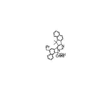 COC1(O)c2c(cc(CC(C)C)c3ccccc23)-c2c3c(nc[n+]21)-c1ccc2ccccc2c1C3(C)C